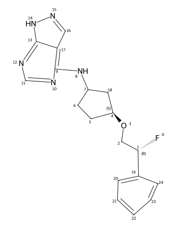 F[C@@H](CO[C@H]1CCC(Nc2ncnc3[nH]ncc23)C1)c1ccccc1